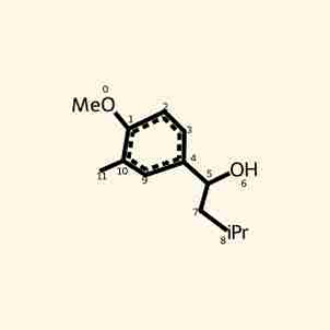 COc1ccc(C(O)CC(C)C)cc1C